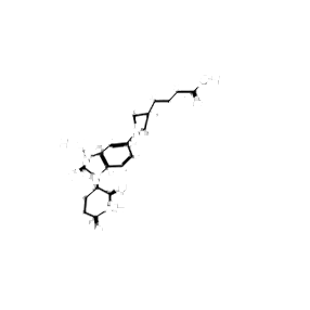 Cn1c(=O)n(C2CCC(=O)NC2=O)c2ccc(N3CC(CCCC(=O)O)C3)cc21